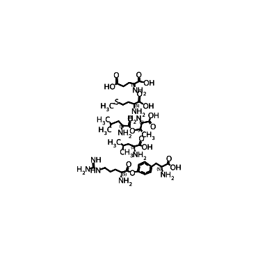 CC(C)C[C@H](N)C(=O)O.CC(C)C[C@H](N)C(=O)O[C@H](C)[C@H](N)C(=O)O.CSCC[C@H](N)C(=O)O.N=C(N)NCCC[C@H](N)C(=O)Oc1ccc(C[C@H](N)C(=O)O)cc1.N[C@@H](CCC(=O)O)C(=O)O